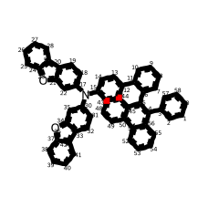 c1ccc(-c2c(-c3ccccc3-c3ccc(N(c4ccc5c(c4)oc4ccccc45)c4ccc5c(c4)oc4ccccc45)cc3)c3ccccc3c3ccccc23)cc1